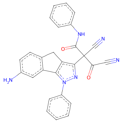 N#CC(=O)C(C#N)(C(=O)Nc1ccccc1)c1nn(-c2ccccc2)c2c1Cc1ccc(N)cc1-2